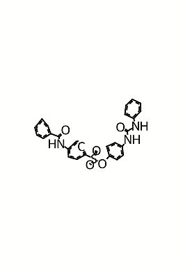 O=C(Nc1ccccc1)Nc1ccc(OS(=O)(=O)c2ccc(NC(=O)c3ccccc3)cc2)cc1